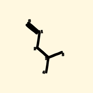 C=[C]CC(C)C